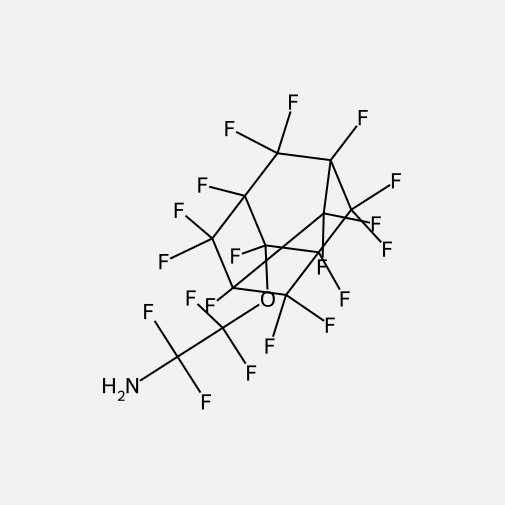 NC(F)(F)C(F)(F)OC1(F)C2(F)C(F)(F)C3(F)C(F)(F)C(F)(C2(F)F)C(F)(F)C1(F)C3(F)F